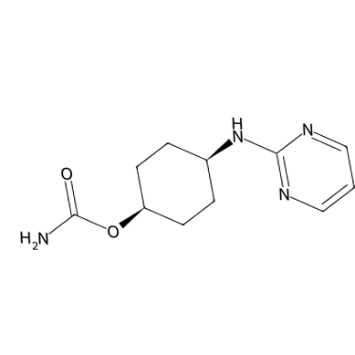 NC(=O)O[C@H]1CC[C@@H](Nc2ncccn2)CC1